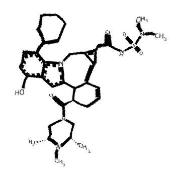 C[C@@H]1CN(C(=O)[C@@H]2CC=CC3=C4C(=C4C(=O)NS(=O)(=O)N(C)C)Cn4c(cc5c(O)ccc(C6CCCCC6)c54)C32)C[C@H](C)N1C